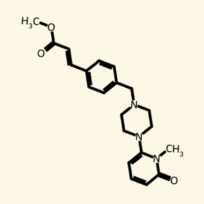 COC(=O)/C=C/c1ccc(CN2CCN(c3cccc(=O)n3C)CC2)cc1